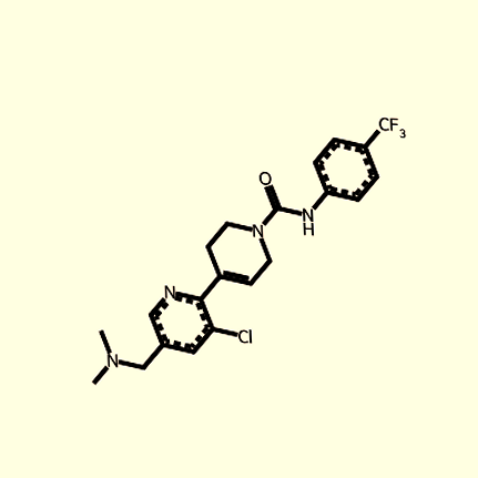 CN(C)Cc1cnc(C2=CCN(C(=O)Nc3ccc(C(F)(F)F)cc3)CC2)c(Cl)c1